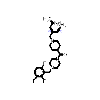 C=C(N)/C=C(\C=C/N)CN1CCC(C(=O)N2CCN(Cc3c(F)ccc(F)c3F)CC2)CC1